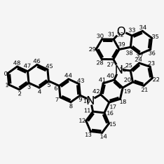 c1ccc2cc(-c3ccc(-n4c5ccccc5c5cc6c7ccccc7n(-c7cccc8oc9ccccc9c78)c6cc54)cc3)ccc2c1